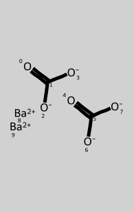 O=C([O-])[O-].O=C([O-])[O-].[Ba+2].[Ba+2]